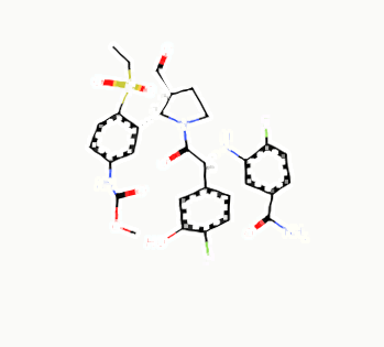 CCS(=O)(=O)c1ccc(NC(=O)OC)cc1[C@@H]1[C@@H](C=O)CCN1C(=O)[C@H](Nc1cc(C(N)=O)ccc1F)c1ccc(F)c(O)c1